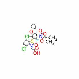 CC(C)=C1OC(=O)N(c2cc(OC3CCCC3)c(Cl)cc2F)C1=O.O=C(O)Cn1c(=O)sc2cccc(Cl)c21